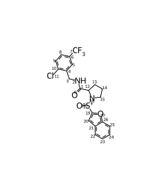 O=C(NCc1cc(C(F)(F)F)ccc1Cl)C1CCCN1[S+]([O-])c1cc2ccccc2o1